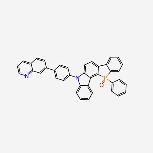 O=P1(c2ccccc2)c2ccccc2-c2ccc3c(c21)c1ccccc1n3-c1ccc(-c2ccc3cccnc3c2)cc1